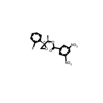 C[C@@H](OC(=O)c1cc([N+](=O)[O-])cc([N+](=O)[O-])c1)[C@@]1(c2ccccc2F)CO1